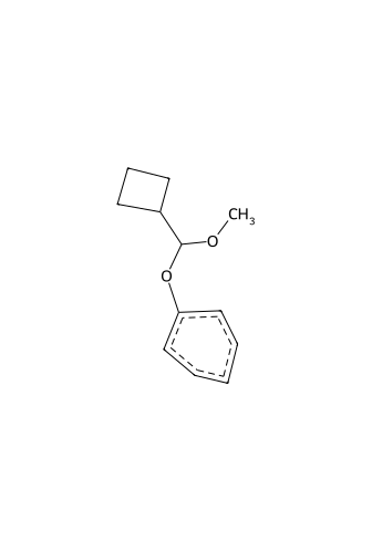 COC(Oc1ccccc1)C1CCC1